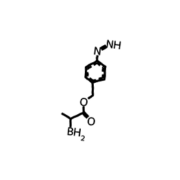 BC(C)C(=O)OCc1ccc(N=N)cc1